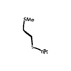 CCCSCCSC